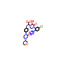 O=C(O)[C@H](Cc1ccc(N2CCN(C3CCCOC3)CC2=O)cc1)N1CCN(c2cc(Cl)ccc2-n2cnnn2)C(=O)C1=O